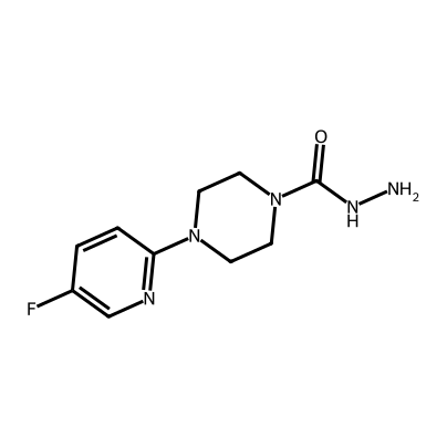 NNC(=O)N1CCN(c2ccc(F)cn2)CC1